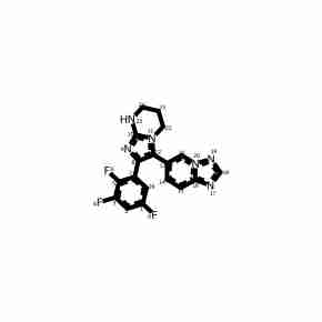 Fc1cc(F)c(F)c(-c2nc3n(c2-c2ccc4ncnn4c2)CCCN3)c1